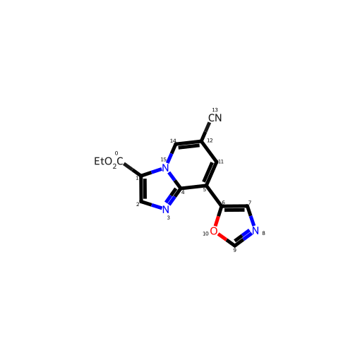 CCOC(=O)c1cnc2c(-c3cnco3)cc(C#N)cn12